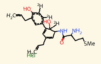 Cl.[2H]c1c(C2=CC(CC=C)=CC(NC(=O)C(N)CCSC)C2([2H])O)cc(CC=C)c(O)c1[2H]